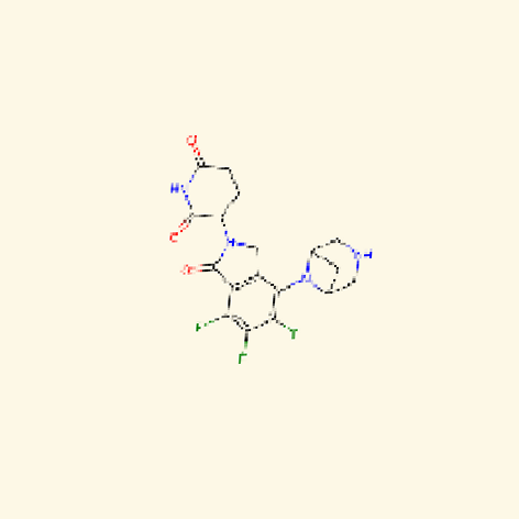 O=C1CCC(N2Cc3c(c(F)c(F)c(F)c3N3C4CNCC3C4)C2=O)C(=O)N1